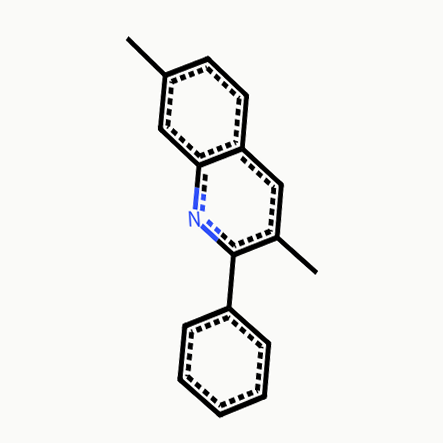 Cc1ccc2cc(C)c(-c3ccccc3)nc2c1